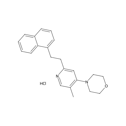 Cc1cnc(CCc2cccc3ccccc23)cc1N1CCOCC1.Cl